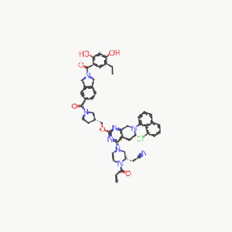 C=CC(=O)N1CCN(c2nc(OC[C@@H]3CCN(C(=O)c4ccc5c(c4)CN(C(=O)c4cc(CC)c(O)cc4O)C5)C3)nc3c2CCN(c2cccc4cccc(Cl)c24)C3)C[C@@H]1CC#N